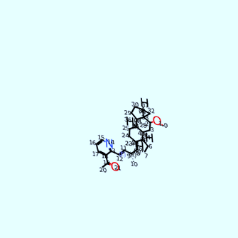 COC1C[C@H]2[C@@H]3CC[C@H]([C@H](C)/C=C/c4ncccc4C(C)=O)[C@@]3(C)CC[C@@H]2[C@@]2(C)CC[C@@H]3CC132